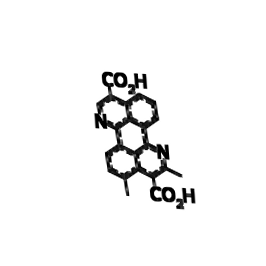 Cc1nc2c3cccc4c(C(=O)O)cnc(c5ccc(C)c(c1C(=O)O)c52)c43